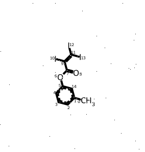 Cc1cccc(OC(=O)C(I)=C(I)I)c1